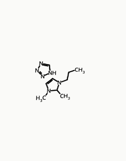 CCCN1C=CN(C)C1C.c1nnn[nH]1